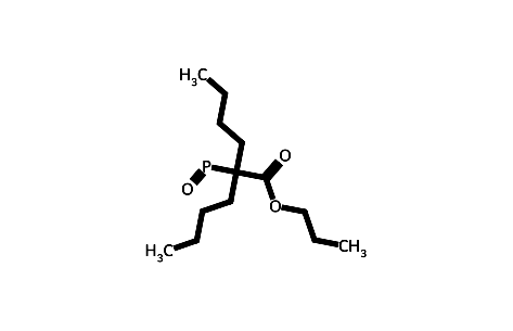 CCCCC(CCCC)(P=O)C(=O)OCCC